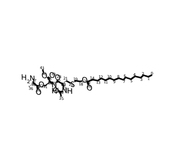 CCCCCCCCCCCCCCCC(=O)OCCSC[C@H](NC(C)=O)C(=O)N[C@@H](COC(=O)[C@H](C)N)C(=O)OC